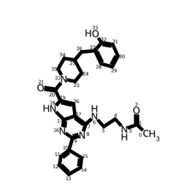 CC(=O)NCCNc1nc(-c2ccccc2)nc2[nH]c(C(=O)N3CCC(Cc4ccccc4O)CC3)cc12